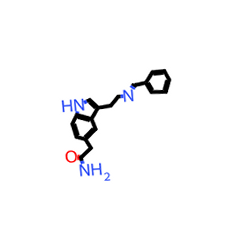 NC(=O)Cc1ccc2[nH]cc(CC/N=C/c3ccccc3)c2c1